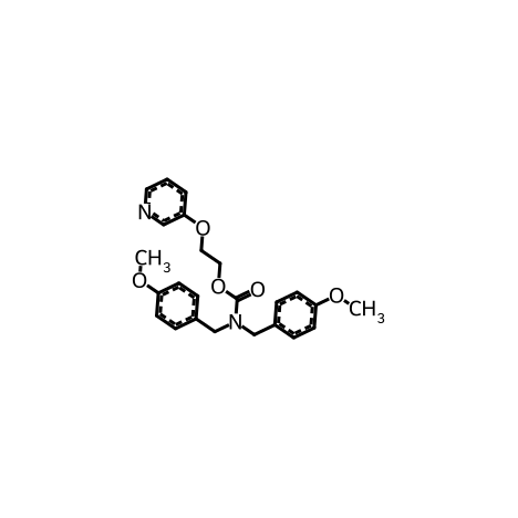 COc1ccc(CN(Cc2ccc(OC)cc2)C(=O)OCCOc2cccnc2)cc1